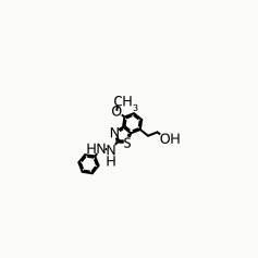 COc1ccc(CCO)c2sc(NNc3ccccc3)nc12